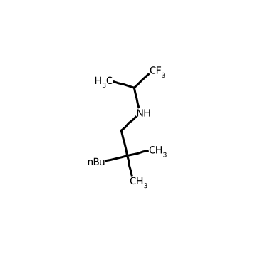 CCCCC(C)(C)CNC(C)C(F)(F)F